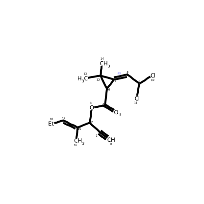 C#CC(OC(=O)C1/C(=C\C(Cl)Cl)C1(C)C)C(C)=CCC